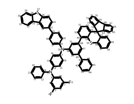 Fc1cc(F)cc(N(c2ccccc2)c2ccc(N(c3ccc(-c4ccc5sc6ccccc6c5c4)cc3)c3cc(-c4ccccc4)cc(-c4cccc5c4Sc4ccccc4C54c5ccccc5-c5ccccc54)c3)cc2)c1